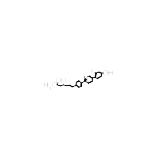 CC(O)CCCC=Cc1ccc(-c2ccc(-c3ccc(O)cc3F)cn2)cc1